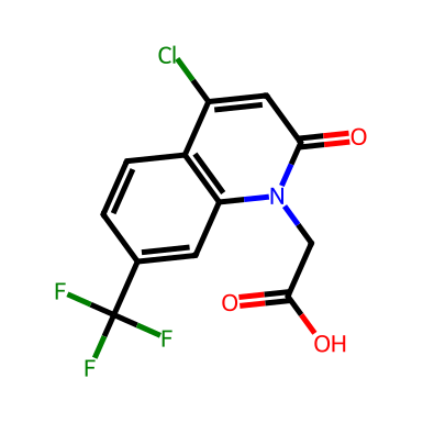 O=C(O)Cn1c(=O)cc(Cl)c2ccc(C(F)(F)F)cc21